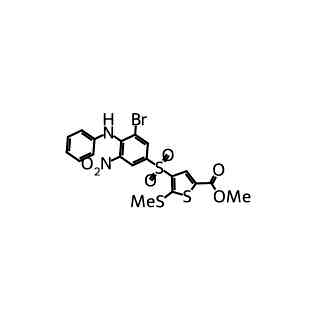 COC(=O)c1cc(S(=O)(=O)c2cc(Br)c(Nc3ccccc3)c([N+](=O)[O-])c2)c(SC)s1